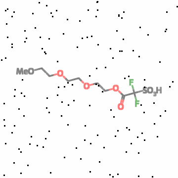 COCCOCCOCCOC(=O)C(F)(F)S(=O)(=O)O